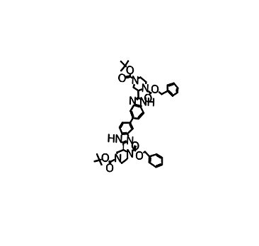 CC(C)(C)OC(=O)N1CCN(C(=O)OCc2ccccc2)C(c2nc3cc(-c4ccc5[nH]c([C@@H]6CN(C(=O)OC(C)(C)C)CCN6C(=O)OCc6ccccc6)nc5c4)ccc3[nH]2)C1